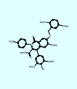 COC(=O)c1c(-c2cc(OC)c(Br)c(OC)c2)c2cc(OC)c(OCc3cc(OC)ccc3OC)cc2c(=O)n1-c1ccc(N)cc1